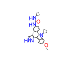 CCOc1ccc2c(-c3n[nH]cc3C)c(-c3ccc(NC(=O)NC4CCC4)cc3)n(C3CCC3)c2c1